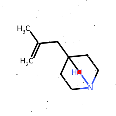 C=C(C)CC12CCN(CC1)NC2